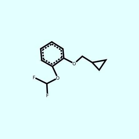 FC(F)Oc1[c]cccc1OCC1CC1